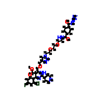 COC(=O)C1=C(COCc2cn(CCOCCOCCNC(=O)c3ccc(C(=O)N=[N+]=[N-])cc3)nn2)NC(c2ccncc2)=NC1c1ccc(F)cc1Cl